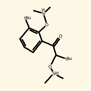 C[SiH](C)Oc1c(C(=O)C(O[SiH](C)C)C(C)(C)C)cccc1C(C)(C)C